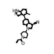 C=CC(=O)N1CCC(n2cc(C#N)c3cc(-c4c(C)ccc5[nH]ncc45)ccc32)CC1